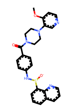 COc1ccncc1N1CCN(C(=O)c2ccc(N[S+]([O-])c3cccc4cccnc34)cc2)CC1